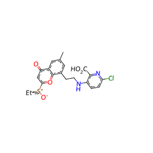 CC[S@+]([O-])c1cc(=O)c2cc(C)cc(CCNc3ccc(Cl)nc3C(=O)O)c2o1